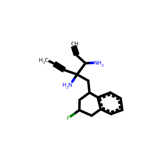 C#CC(N)C(N)(C#CC)CC1CC(F)Cc2ccccc21